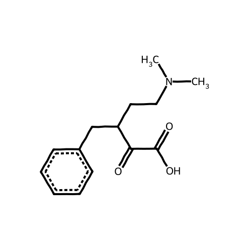 CN(C)CCC(Cc1ccccc1)C(=O)C(=O)O